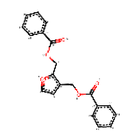 O=C(OCc1ccoc1COC(=O)c1ccccc1)c1ccccc1